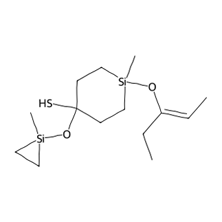 C/C=C(/CC)O[Si]1(C)CCC(S)(O[Si]2(C)CC2)CC1